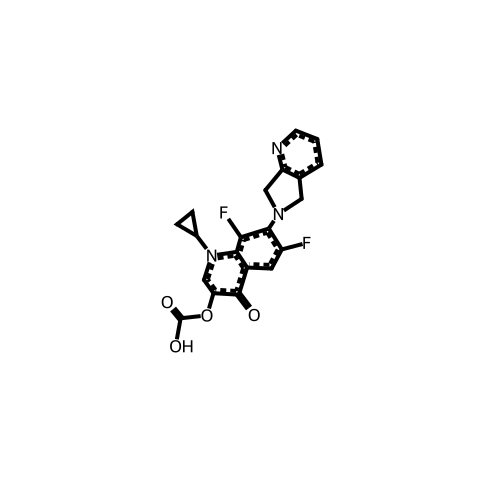 O=C(O)Oc1cn(C2CC2)c2c(F)c(N3Cc4cccnc4C3)c(F)cc2c1=O